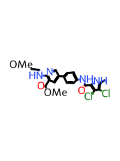 COCCNc1ncc(-c2ccc(NC(=O)c3[nH]c(C)c(Cl)c3Cl)cc2)cc1C(=O)OC